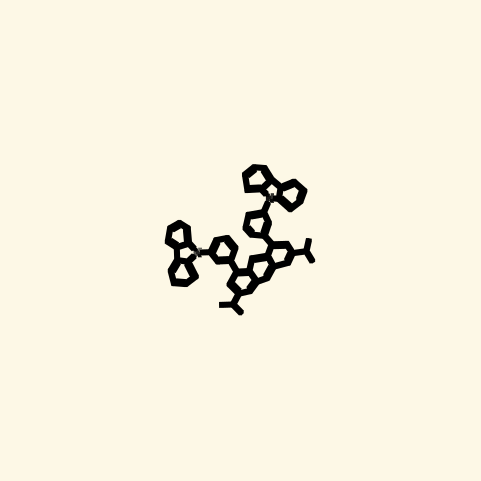 CC(C)c1cc(-c2cccc(-n3c4ccccc4c4ccccc43)c2)c2cc3c(-c4cccc(-n5c6ccccc6c6ccccc65)c4)cc(C(C)C)cc3cc2c1